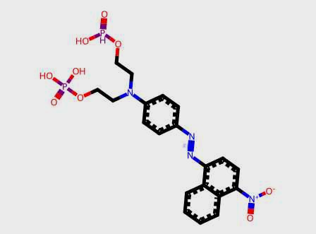 O=[N+]([O-])c1ccc(/N=N/c2ccc(N(CCO[PH](=O)O)CCOP(=O)(O)O)cc2)c2ccccc12